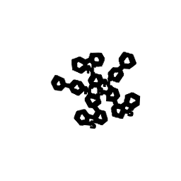 c1ccc(-c2ccc(N3c4ccc(-c5cccc6sc7ccccc7c56)cc4B4c5cc(-c6cccc7sc8ccccc8c67)ccc5N(c5ccc(-c6ccccc6)cc5)c5cc(-n6c7ccccc7c7ccccc76)cc3c54)cc2)cc1